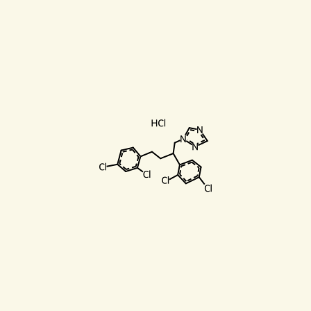 Cl.Clc1ccc(CCC(Cn2cncn2)c2ccc(Cl)cc2Cl)c(Cl)c1